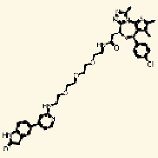 Cc1sc2c(c1C)C(c1ccc(Cl)cc1)=N[C@@H](CC(=O)NCCOCCOCCOCCNc1cc(-c3ccc4c(c3)CC(=O)N4)ccn1)c1nnc(C)n1-2